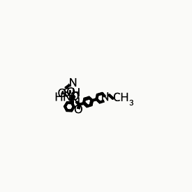 CCCN1CCC(c2ccc(C(=O)NC3(C(=O)NS(=O)(=O)CC#N)CCCCC3)cc2)CC1